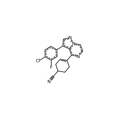 N#CC1CC=C(c2nccn3ncc(-c4ccc(Cl)c(F)c4)c23)CC1